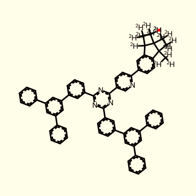 [2H]C([2H])([2H])C1([2H])c2cc(-c3ccc(-c4nc(-c5cccc(-c6cc(-c7ccccc7)cc(-c7ccccc7)c6)c5)nc(-c5cccc(-c6cc(-c7ccccc7)cc(-c7ccccc7)c6)c5)n4)cn3)ccc2C(C([2H])([2H])[2H])(C([2H])([2H])[2H])C1(C([2H])([2H])[2H])C([2H])([2H])[2H]